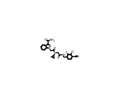 N#Cc1ccc(CNC(=O)CN(C(=O)Cn2nc(C(N)=O)c3ccccc32)C2CC2)c(F)c1Cl